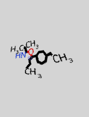 CCC/C=C(/OC(=N)C(C)C)C1CCCC(CC)CC1